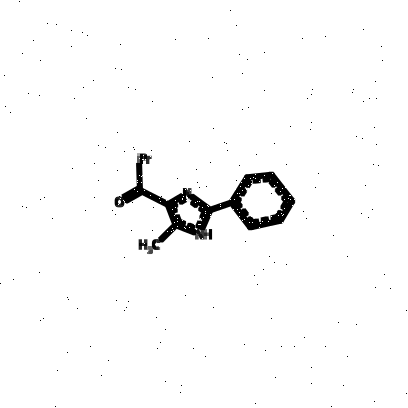 Cc1[nH]c(-c2ccccc2)nc1C(=O)C(C)C